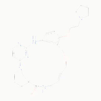 O=C1NC/C=C/COCc2cc(ccc2OCCN2CCCC2)Nc2nccc(n2)N2CCCC1C2